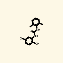 Cc1cccc(C)c1NC(=O)Nc1cc(Cl)ccc1O